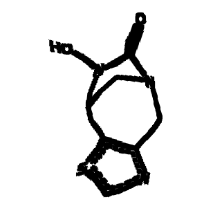 O=C1N2Cc3ncsc3C(C2)N1O